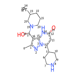 Cc1nn2c(C3CCNCC3)cc(=O)[nH]c2c1C(O)N1CCCC(C(C)C)C1